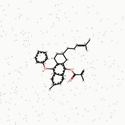 C=C(C)C(=O)Oc1c2c(c(Oc3ccccc3)c3cc(C)ccc13)CCC(CCC=C(C)C)C2